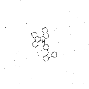 c1ccc2c(c1)-c1ccccc1C2c1ccc(-n2c3ccc4ccccc4c3c3c4ccccc4c4ccccc4c32)cc1